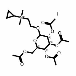 CC(=O)OC[C@H]1OC(OCC[N+](C)(C)C2CC2)[C@H](OC(C)=O)[C@@H](OC(C)=O)[C@@H]1OC(C)=O.[I-]